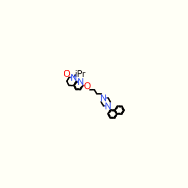 CC(C)N1C(=O)CCc2ccc(OCCCCN3CCN(c4cccc5ccccc45)CC3)nc21